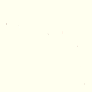 CNC1C=CCC2CN(c3c(F)c(Br)c4c(=O)c(OC(=O)O)cn(C5CC5)c4c3F)CC21